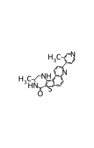 Cc1cnccc1-c1ccc2c(ccc3sc4c(c32)NCC(C)NC4=O)n1